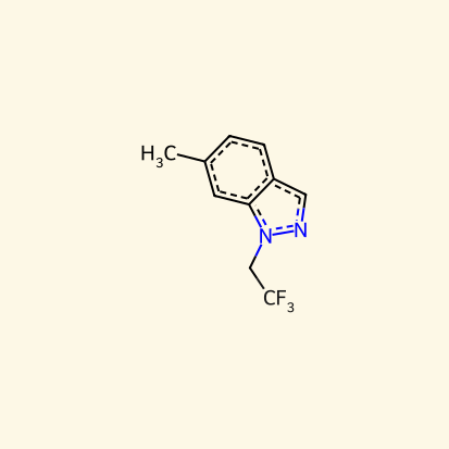 Cc1ccc2cnn(CC(F)(F)F)c2c1